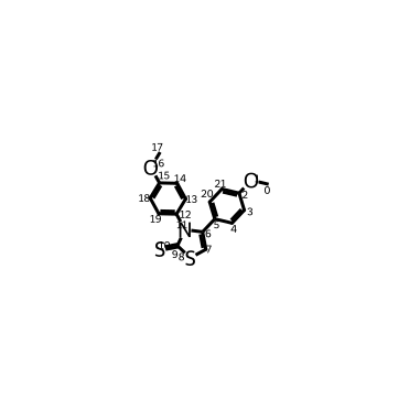 COc1ccc(-c2csc(=S)n2-c2ccc(OC)cc2)cc1